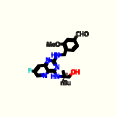 CCCC[C@](C)(CO)Nc1nc(NCc2ccc(C=O)cc2OC)nc2cc(F)cnc12